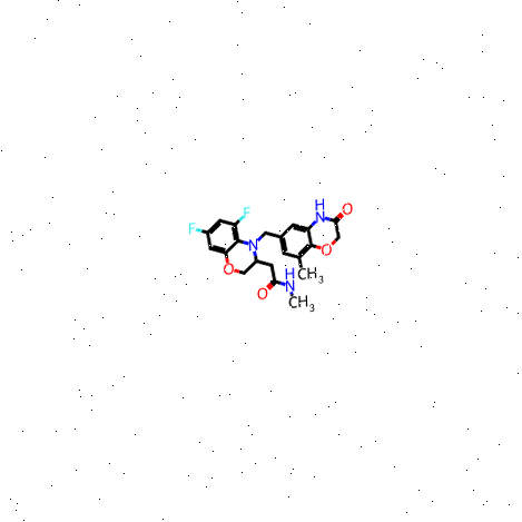 CNC(=O)CC1COc2cc(F)cc(F)c2N1Cc1cc(C)c2c(c1)NC(=O)CO2